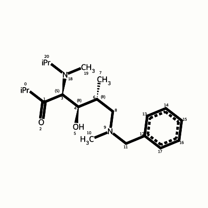 CC(C)C(=O)[C@H]([C@H](O)[C@H](C)CN(C)Cc1ccccc1)N(C)C(C)C